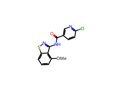 COc1cccc2snc(NC(=O)c3ccc(Cl)nc3)c12